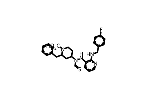 O=C(O)N1CCC(N(C=S)Nc2cccnc2NCc2ccc(F)cc2)CC1Cc1ccccc1